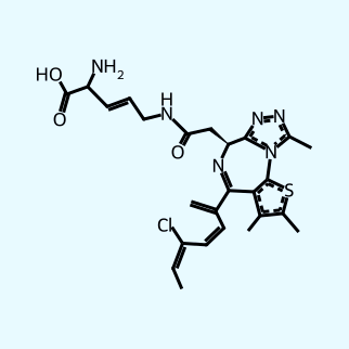 C=C(/C=C\C(Cl)=C/C)C1=N[C@@H](CC(=O)NC/C=C/C(N)C(=O)O)c2nnc(C)n2-c2sc(C)c(C)c21